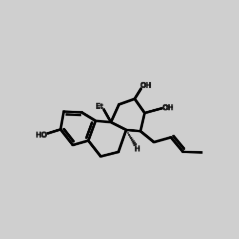 CC=CCC1C(O)C(O)CC2(CC)c3ccc(O)cc3CC[C@H]12